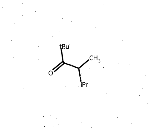 CC(C)C(C)C(=O)C(C)(C)C